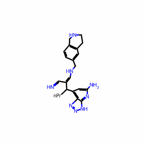 CCCC(/C(C=N)=C/NCc1ccc2c(c1)CCNC2)c1cc(N)nc2[nH]nnc12